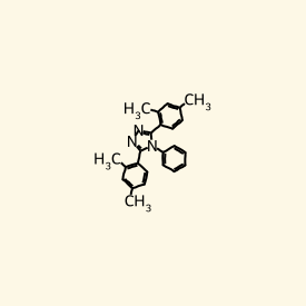 Cc1ccc(-c2nnc(-c3ccc(C)cc3C)n2-c2ccccc2)c(C)c1